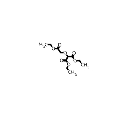 CCOC(=O)COC(C(=O)OCC)C(=O)OCC